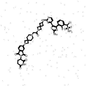 CCC(c1cccc(-c2nc(C(C)(C)C)sc2-c2ccnc(NC3CC4(C3)CN(C(=O)CN3CCC5(CC3)CN(c3ccc6c(c3)C(=O)N(C3CCC(=O)NC3=O)C6=O)C5)C4)n2)c1F)S(N)(=O)=O